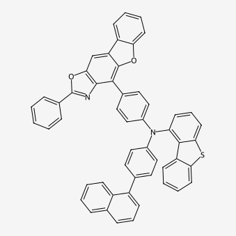 c1ccc(-c2nc3c(-c4ccc(N(c5ccc(-c6cccc7ccccc67)cc5)c5cccc6sc7ccccc7c56)cc4)c4oc5ccccc5c4cc3o2)cc1